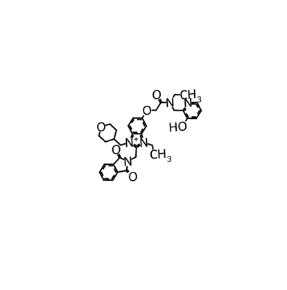 CCN(Cc1ncccc1O)C(=O)COc1ccc2c(c1)n(CC)c(CN1C(=O)c3ccccc3C1=O)[n+]2CC1CCOCC1